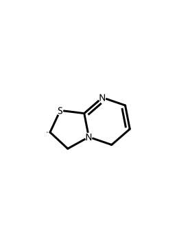 [CH]1CN2CC=CN=C2S1